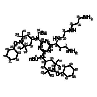 CCCCN(c1nc(C(CCN)NCCNCCCN)nc(N(CCCC)C2CC(C)(C)N(OC3CCCCC3)C(C)(C)C2)n1)C1CC(C)(C)N(OC2CCCCC2)C(C)(C)C1